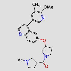 COc1ncc(-c2ccnc3ccc(OC4CCN(C(=O)C5CCN(C(C)=O)C5)C4)cc23)cc1C